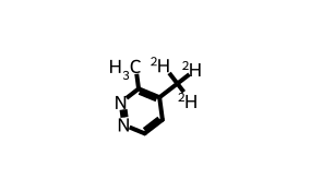 [2H]C([2H])([2H])c1ccnnc1C